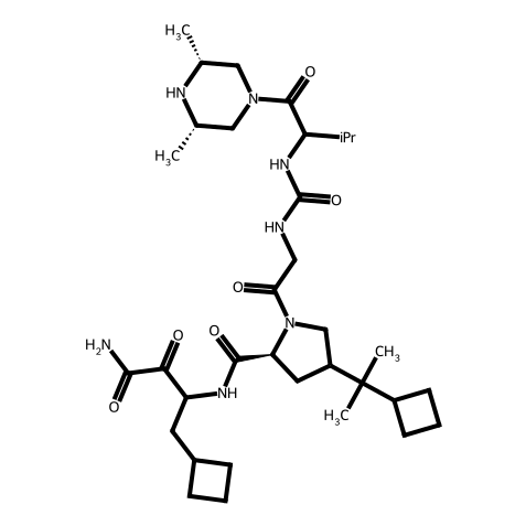 CC(C)C(NC(=O)NCC(=O)N1CC(C(C)(C)C2CCC2)C[C@H]1C(=O)NC(CC1CCC1)C(=O)C(N)=O)C(=O)N1C[C@@H](C)N[C@@H](C)C1